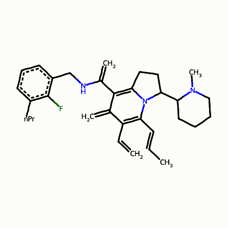 C=CC1=C(/C=C/C)N2C(=C(C(=C)NCc3cccc(CCC)c3F)C1=C)CCC2C1CCCCN1C